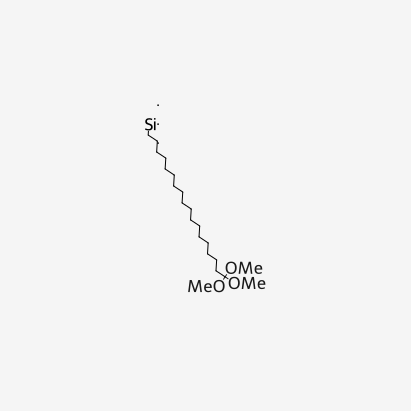 COC(CCCCCCCCCCCCCCCCC[Si])(OC)OC